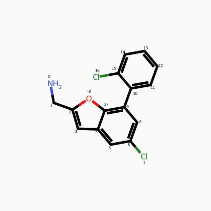 NCc1cc2cc(Cl)cc(-c3ccccc3Cl)c2o1